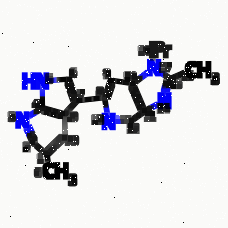 Cc1cnc2[nH]cc(-c3cc4c(cn3)nc(C)n4C(C)C)c2c1